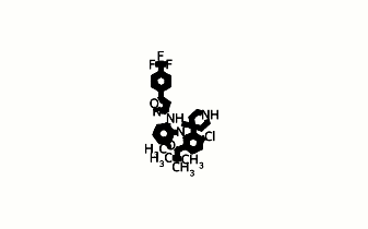 COC(c1ccc(Cl)c2c1N(c1ccccc1Nc1cc(-c3ccc(C(F)(F)F)cc3)on1)CC21CCNCC1)C(C)(C)C